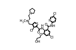 CN(CCN1CCCC1)Cc1csc(C(=O)Nc2c(OCCO)cc(Cl)cc2C(=O)Nc2ccc(Cl)cn2)c1Cl